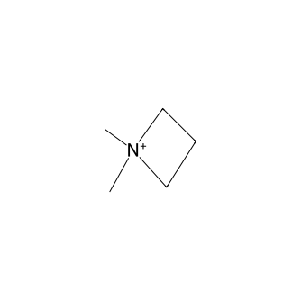 C[N+]1(C)CCC1